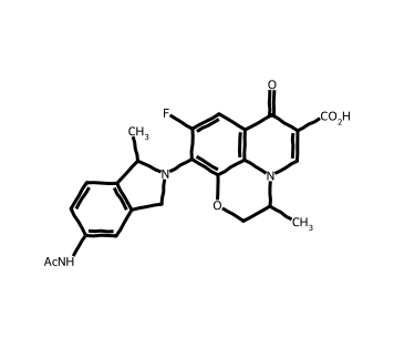 CC(=O)Nc1ccc2c(c1)CN(c1c(F)cc3c(=O)c(C(=O)O)cn4c3c1OCC4C)C2C